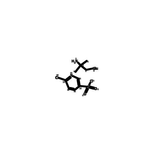 CC(C)(C)CC(C)(C)N.O=S(=O)(Cl)c1ccc(Cl)nc1